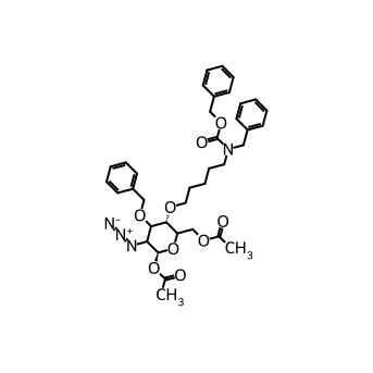 CC(=O)OCC1O[C@@H](OC(C)=O)C(N=[N+]=[N-])C(OCc2ccccc2)[C@@H]1OCCCCCN(Cc1ccccc1)C(=O)OCc1ccccc1